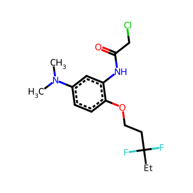 CCC(F)(F)CCOc1ccc(N(C)C)cc1NC(=O)CCl